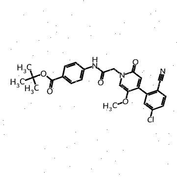 COc1cn(CC(=O)Nc2ccc(C(=O)OC(C)(C)C)cc2)c(=O)cc1-c1cc(Cl)ccc1C#N